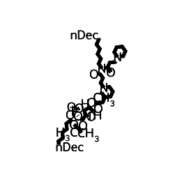 CCCCCCCCCCCCCCCCOP(=O)(O)O[C@@H]1[C@H]2OC(C)(CC3CCCN(CCC(=O)N(CCCCCCCCCCCCCCCC)C(=O)CCN4CCCCC4)C3)O[C@H]2O[C@@H]1[C@H]1COC(C)(C)O1